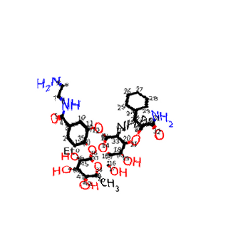 CCC1CC(C(=O)NCCN)C[C@@H](O[C@@H]2O[C@@H](CO)[C@H](O)C(O[C@@H](CC3CCCCC3)C(N)=O)C2NC(C)=O)[C@@H]1OC1O[C@@H](C)C(O)[C@H](O)[C@@H]1O